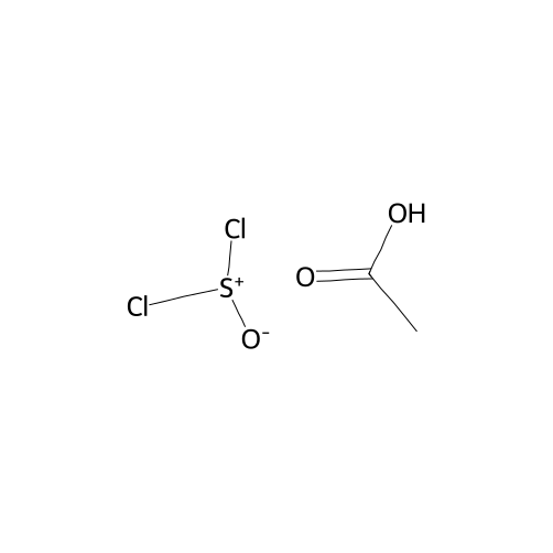 CC(=O)O.[O-][S+](Cl)Cl